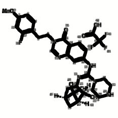 COc1ccc(CCn2cnc3cc(NC(=NC4C[C@@H]5C[C@H]([C@@H]4C)C5(C)C)N4CCNCC4)ccc3c2=O)c(F)c1.O=C(O)C(F)(F)F